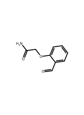 NC(=O)COc1ccccc1[C]=O